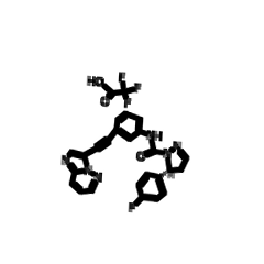 O=C(Nc1cccc(C#Cc2cnc3cccnn23)c1)N1N=CC[C@@H]1c1ccc(F)cc1.O=C(O)C(F)(F)F